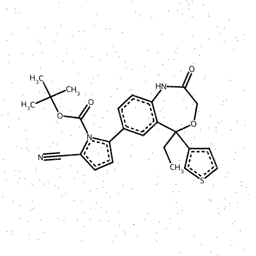 CCC1(c2ccsc2)OCC(=O)Nc2ccc(-c3ccc(C#N)n3C(=O)OC(C)(C)C)cc21